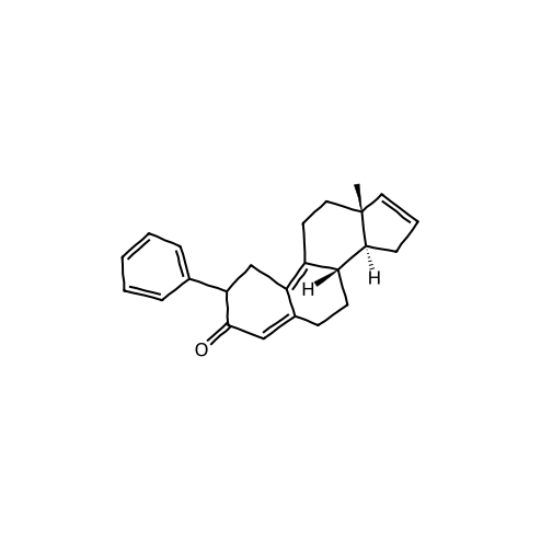 C[C@@]12C=CC[C@H]1[C@@H]1CCC3=CC(=O)C(c4ccccc4)CC3=C1CC2